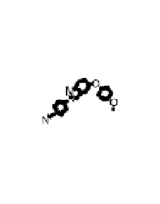 COc1ccc(Oc2ccc3nn(-c4ccc(C#N)cc4)cc3c2)cc1